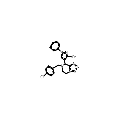 CC(C)c1nn(-c2ccccc2)cc1C1c2nnnn2CCN1Cc1ccc(Cl)cc1